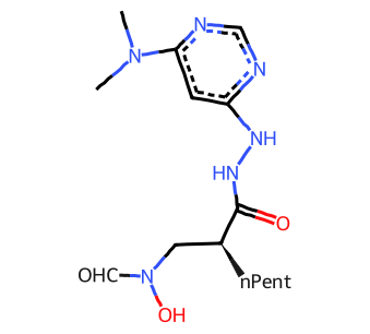 CCCCC[C@@H](CN(O)C=O)C(=O)NNc1cc(N(C)C)ncn1